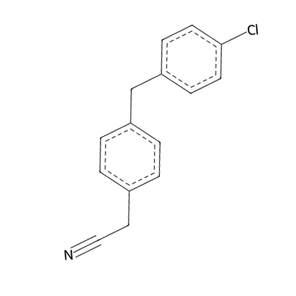 N#CCc1ccc(Cc2ccc(Cl)cc2)cc1